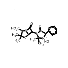 CC1(C)SC2C(N3C(=O)C(c4ccccc4)N(N=O)C3(C)C)C(=O)N2C1C(=O)O